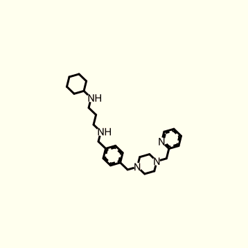 c1ccc(CN2CCN(Cc3ccc(CNCCCNC4CCCCC4)cc3)CC2)nc1